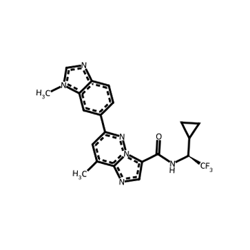 Cc1cc(-c2ccc3ncn(C)c3c2)nn2c(C(=O)N[C@@H](C3CC3)C(F)(F)F)cnc12